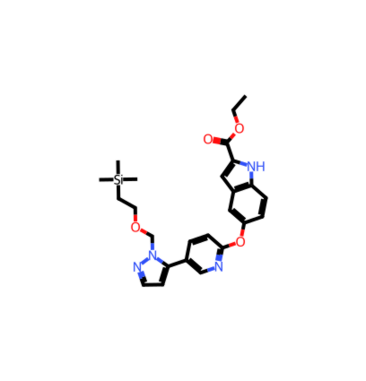 CCOC(=O)c1cc2cc(Oc3ccc(-c4ccnn4COCC[Si](C)(C)C)cn3)ccc2[nH]1